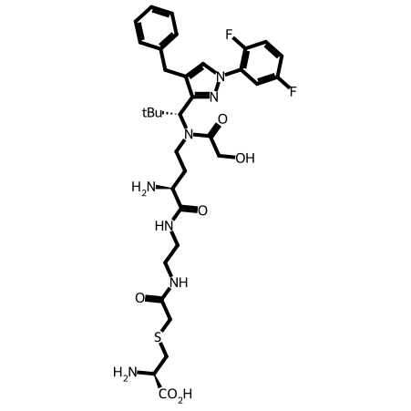 CC(C)(C)[C@H](c1nn(-c2cc(F)ccc2F)cc1Cc1ccccc1)N(CC[C@H](N)C(=O)NCCNC(=O)CSC[C@H](N)C(=O)O)C(=O)CO